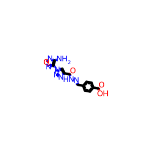 Nc1nonc1-n1cc(C(=O)NN=Cc2ccc(C(=O)O)cc2)nn1